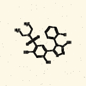 CCN(CC)S(=O)(=O)c1cc(-c2nnc(O)n2-c2ccccc2Cl)c(O)cc1O